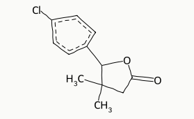 CC1(C)CC(=O)OC1c1ccc(Cl)cc1